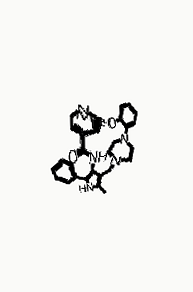 COc1ccccc1N1CCN(Cc2c(C)[nH]c(-c3ccccc3)c2NC(=O)c2ccncc2)CC1